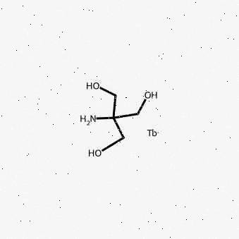 NC(CO)(CO)CO.[Tb]